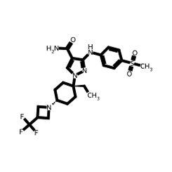 CC[C@]1(n2cc(C(N)=O)c(Nc3ccc(S(C)(=O)=O)cc3)n2)CC[C@@H](N2CC(C(F)(F)F)C2)CC1